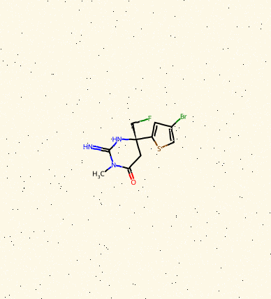 CN1C(=N)N[C@](CF)(c2cc(Br)cs2)CC1=O